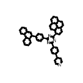 c1ccc2c(c1)cc(-c1ccc(-c3nc(-c4ccc(-c5ccncc5)cc4)nc(-c4ccc5ccc6cccc7ccc4c5c67)n3)cc1)c1ccccc12